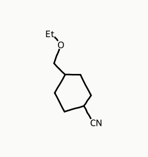 CCOCC1CCC(C#N)CC1